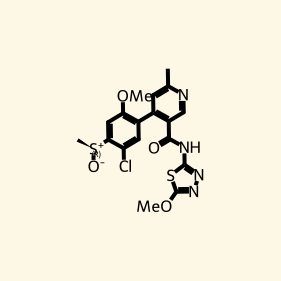 COc1nnc(NC(=O)c2cnc(C)cc2-c2cc(Cl)c([S@+](C)[O-])cc2OC)s1